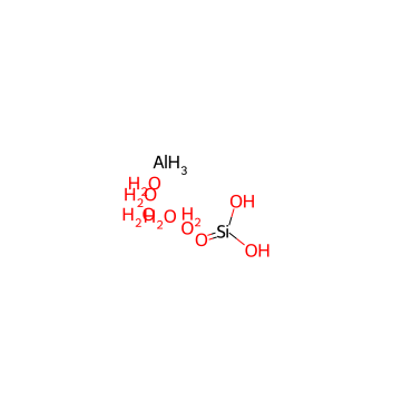 O.O.O.O.O.O=[Si](O)O.[AlH3]